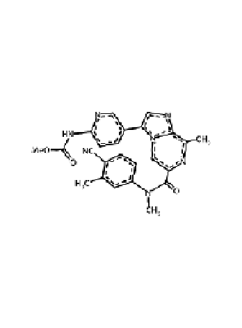 COC(=O)Nc1ccc(-c2cnc3c(C)nc(C(=O)N(C)c4ccc(C#N)c(C)c4)cn23)cn1